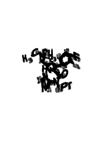 CC(C)N(C(=O)c1nc(CN(C)C)sc1-c1ccc(F)cc1)c1cnc[nH]1